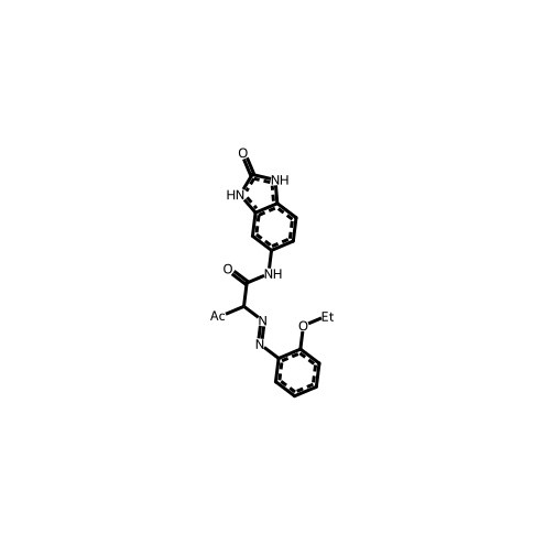 CCOc1ccccc1/N=N/C(C(C)=O)C(=O)Nc1ccc2[nH]c(=O)[nH]c2c1